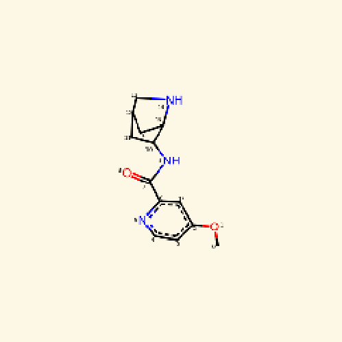 COc1ccnc(C(=O)NC2CC3CNC2C3)c1